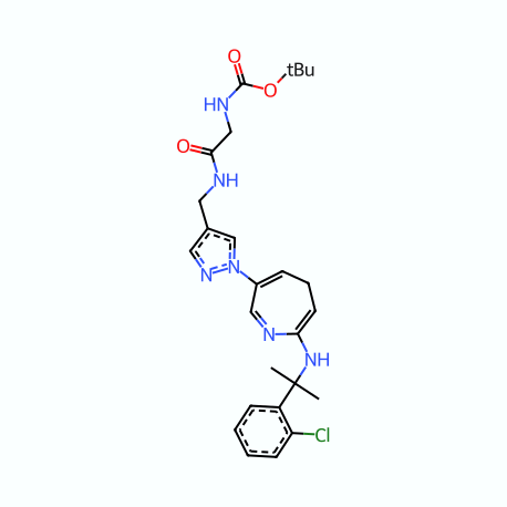 CC(C)(C)OC(=O)NCC(=O)NCc1cnn(C2=CCC=C(NC(C)(C)c3ccccc3Cl)N=C2)c1